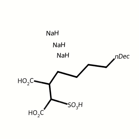 CCCCCCCCCCCCCCC(C(=O)O)C(C(=O)O)S(=O)(=O)O.[NaH].[NaH].[NaH]